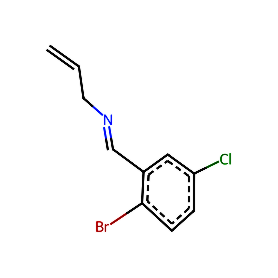 C=CCN=Cc1cc(Cl)ccc1Br